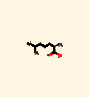 CC(C)CCC[C@H](C)C(=O)O